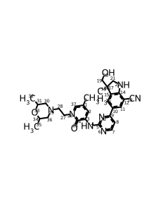 Cc1cc(Nc2nccc(-c3cc(C#N)c4c(c3)[C@@](C)(CO)CN4)n2)c(=O)n(CCN2CC(C)OC(C)C2)c1